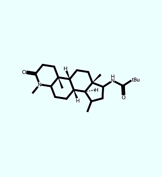 CC1CC(NC(=O)C(C)(C)C)[C@@]2(C)CC[C@@H]3[C@@H](CCC4N(C)C(=O)CC[C@@]43C)[C@H]12